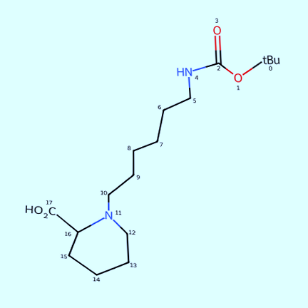 CC(C)(C)OC(=O)NCCCCCCN1CCCCC1C(=O)O